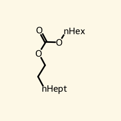 CCCCCCCCCOC(=O)OCCCCCC